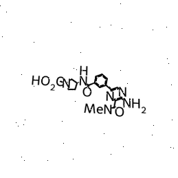 CNC(=O)c1nc(-c2cccc(C(=O)N[C@@H]3CCN(C(=O)O)C3)c2)cnc1N